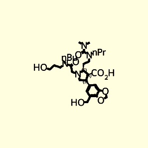 CCCCN(CCCO)C(=O)CN1C[C@H](c2cc(CO)c3c(c2)OCO3)[C@@H](C(=O)O)[C@@H]1CCN(CCC)C(=O)N(C)C